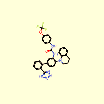 O=C(Nc1ccc(OC(F)(F)F)cc1)Nc1cc(-c2ccccc2-c2nnn[nH]2)ccc1N1CCCc2ccccc21